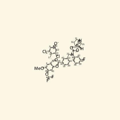 COc1cc([C@H](Cc2c(Cl)c[n+]([O-])cc2Cl)OC(=O)c2cccc(CN(C(=O)O[C@H]3CN4CCC3CC4)c3cccc(F)c3)c2)ccc1OC(F)F